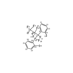 FC(F)(F)C(F)(F)C(F)(c1ccccc1I)C(F)(F)c1ccccc1I